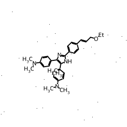 C=C(/C=C\C(=C/C)N(C)C)c1[nH]c(-c2ccc(/C=C/COCC)cc2)nc1-c1ccc(N(C)C)cc1